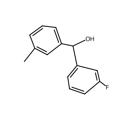 Cc1cccc(C(O)c2cccc(F)c2)c1